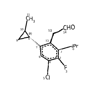 CC(C)c1c(F)c(Cl)cc([C@@H]2CC2C)c1CC=O